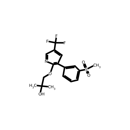 CC(C)(O)COc1ncc(C(F)(F)F)cc1-c1cccc(S(C)(=O)=O)c1